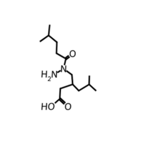 CC(C)CCC(=O)N(N)CC(CC(=O)O)CC(C)C